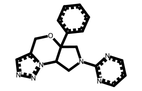 c1ccc(C23CN(c4ncccn4)CC2n2nncc2CO3)cc1